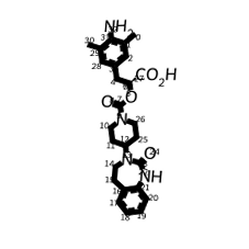 Cc1cc(C[C@@H](OC(=O)N2CCC(N3CCc4ccccc4NC3=O)CC2)C(=O)O)cc(C)c1N